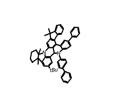 CC(C)(C)c1cc2c3c(c1)C1(C)CCCCC1(C)N3c1cc3c(c4c1C2N(c1ccc(-c2ccccc2)cc1)c1ccc(-c2ccccc2)cc1-4)-c1ccccc1C3(C)C